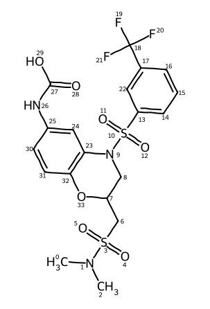 CN(C)S(=O)(=O)CC1CN(S(=O)(=O)c2cccc(C(F)(F)F)c2)c2cc(NC(=O)O)ccc2O1